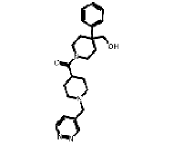 O=C(C1CCN(Cc2ccnnc2)CC1)N1CCC(CO)(c2ccccc2)CC1